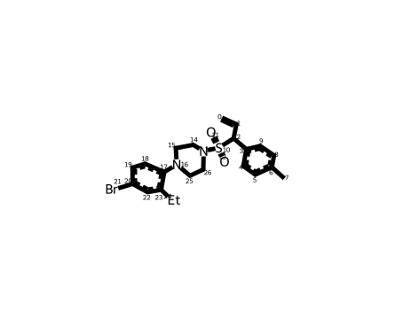 C=CC(c1ccc(C)cc1)S(=O)(=O)N1CCN(c2ccc(Br)cc2CC)CC1